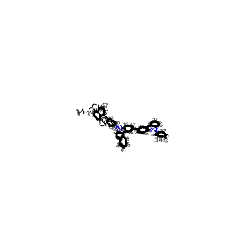 CC1(C)CCC(C)(C)c2c(-c3ccc(-n4c5ccc(-c6ccc7c(c6)c6ccccc6n7-c6ccccc6)cc5c5c6c(ccc54)C=CCC6)cc3)cccc21